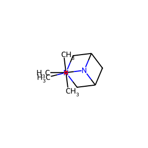 CN1CC2CC(C1)N2C(C)(C)C